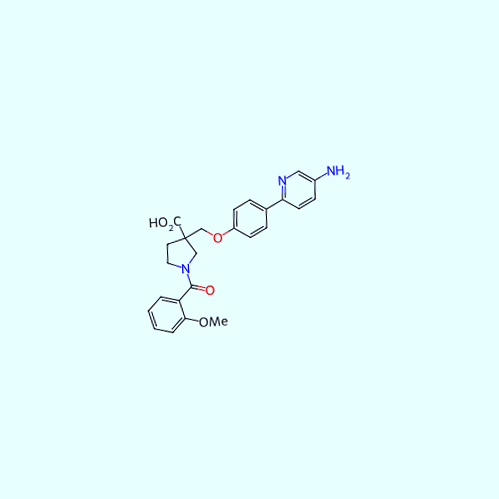 COc1ccccc1C(=O)N1CCC(COc2ccc(-c3ccc(N)cn3)cc2)(C(=O)O)C1